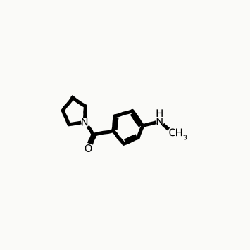 CNc1ccc(C(=O)N2CCCC2)cc1